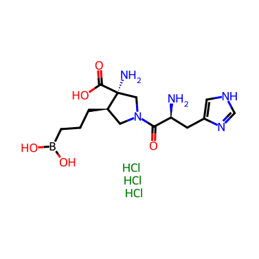 Cl.Cl.Cl.N[C@@H](Cc1c[nH]cn1)C(=O)N1C[C@@H](CCCB(O)O)[C@@](N)(C(=O)O)C1